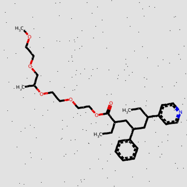 CCC(CC(CC(CC)c1ccncc1)c1ccccc1)C(=O)OCCOCCOC(C)COCCOC